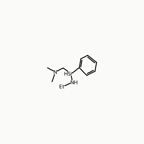 CCN[SiH](CN(C)C)c1ccccc1